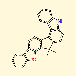 CC1(C)c2ccc3[nH]c4ccccc4c3c2-c2ccc3c(oc4ccccc43)c21